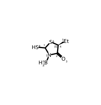 BN1C(=O)[C@H](CC)SC1S